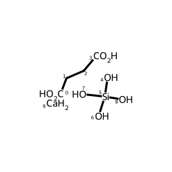 O=C(O)CCC(=O)O.O[Si](O)(O)O.[CaH2]